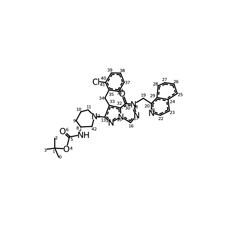 CC(C)(C)OC(=O)N[C@@H]1CCCN(c2nn3cnn(Cc4nccc5ccccc45)c(=O)c3c2Cc2ccccc2Cl)C1